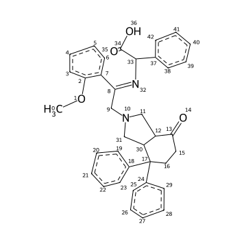 COc1ccccc1C(CN1CC2C(=O)CCC(c3ccccc3)(c3ccccc3)C2C1)=NC(C(=O)O)c1ccccc1